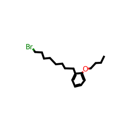 CCCCOc1ccccc1CCCCCCCCBr